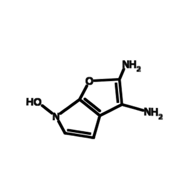 Nc1oc2c(ccn2O)c1N